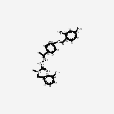 C/C(=N\NC(=S)N(C)Cc1cccc(F)c1)c1ccc(OCc2ccc(F)cc2F)cc1